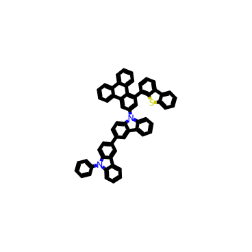 c1ccc(-n2c3ccccc3c3cc(-c4ccc5c(c4)c4ccccc4n5-c4cc(-c5cccc6c5sc5ccccc56)c5c6ccccc6c6ccccc6c5c4)ccc32)cc1